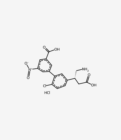 Cl.NC[C@H](CC(=O)O)c1ccc(Cl)c(-c2cc(C(=O)O)cc([N+](=O)[O-])c2)c1